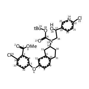 COC(=O)c1cc(Oc2ccc3c(c2)C[C@@H](N(C[C@@H](O)c2ccc(Cl)nc2)C(=O)OC(C)(C)C)CC3)ccc1Cl